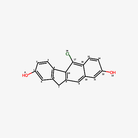 Oc1ccc2c(c1)Cc1cc3cc(O)ccc3c(Cl)c1-2